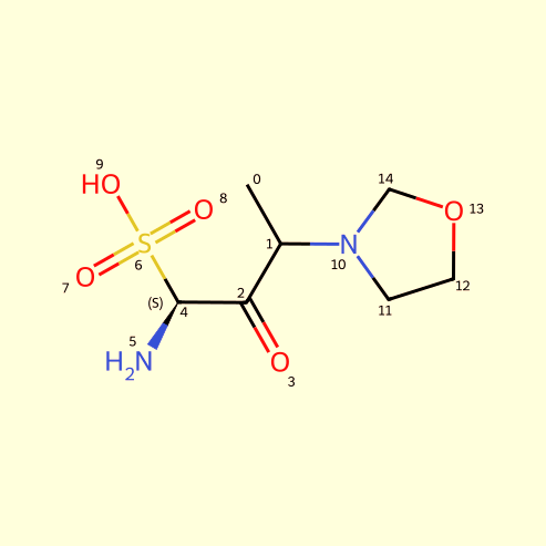 CC(C(=O)[C@@H](N)S(=O)(=O)O)N1CCOC1